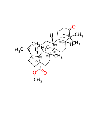 C=C(C)[C@@H]1CC[C@]2(C(=O)OC)CC[C@]3(C)C(CC[C@@H]4[C@@]5(C)CCC(=O)C(C)(C)[C@@H]5CC[C@]43C)[C@@H]12